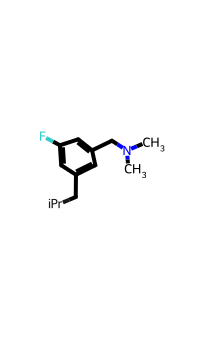 CC(C)Cc1cc(F)cc(CN(C)C)c1